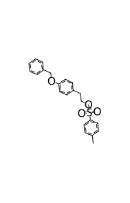 Cc1ccc(S(=O)(=O)OCCc2ccc(OCc3ccccc3)cc2)cc1